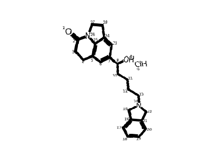 Cl.O=C1CCc2cc(C(O)CCCCN3Cc4ccccc4C3)cc3c2N1CC3